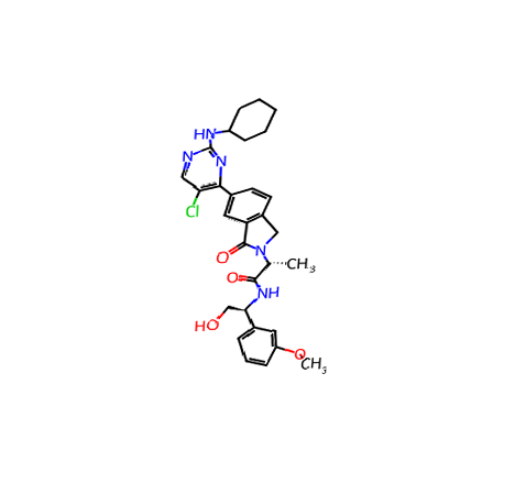 COc1cccc([C@@H](CO)NC(=O)[C@@H](C)N2Cc3ccc(-c4nc(NC5CCCCC5)ncc4Cl)cc3C2=O)c1